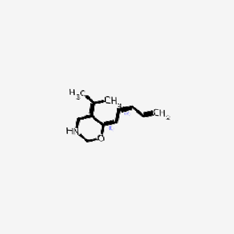 C=C/C=C\C=C1\OCNCC1=C(C)C